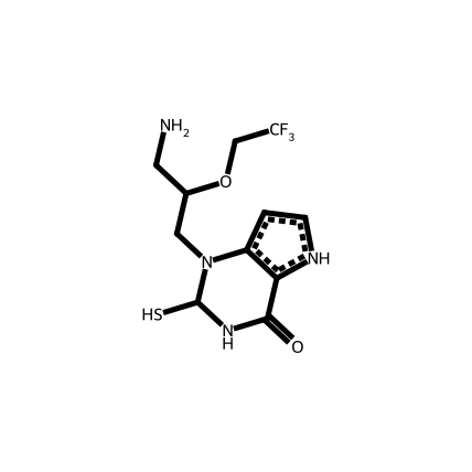 NCC(CN1c2cc[nH]c2C(=O)NC1S)OCC(F)(F)F